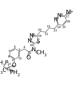 CN(C(=O)Cc1cccc(OC(C)(P)P)c1)c1nnc(CCCCc2ccc(N)nn2)s1